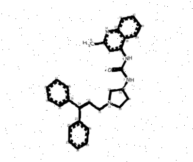 Cc1cc(NC(=O)N[C@H]2CCN(CCC(c3ccccc3)c3ccccc3)C2)c2ccccc2n1